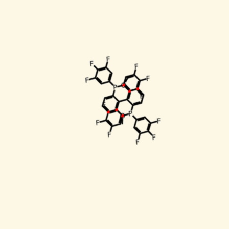 COc1cccc(P(c2cc(F)c(F)c(F)c2)c2cc(F)c(F)c(F)c2)c1-c1c(OC)cccc1P(c1cc(F)c(F)c(F)c1)c1cc(F)c(F)c(F)c1